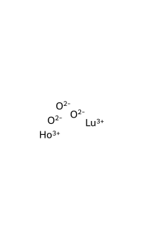 [Ho+3].[Lu+3].[O-2].[O-2].[O-2]